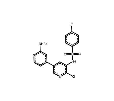 CC(=O)Nc1cc(-c2cnc(Cl)c(NS(=O)(=O)c3ccc(Cl)cc3)c2)ccn1